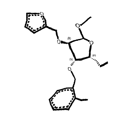 CC[C@H]1OC(OC)[C@H](OCc2ccco2)[C@H]1OCc1ccccc1C